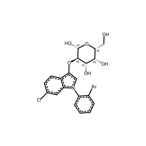 CC(=O)c1ccccc1-n1cc(O[C@@H]2[C@@H](O)[C@@H](O)[C@@H](CO)O[C@H]2O)c2ccc(Cl)cc21